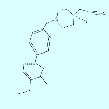 CCC1=CC=C(c2ccc(CN3CCC(I)(CC#N)CC3)cc2)CC1C